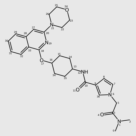 CN(C)C(=O)Cn1ccc(C(=O)NC2CCC(Oc3nc(N4CCOCC4)cc4ccccc34)CC2)c1